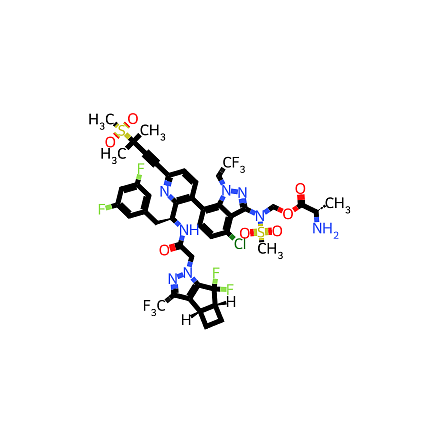 C[C@H](N)C(=O)OCN(c1nn(CC(F)(F)F)c2c(-c3ccc(C#CC(C)(C)S(C)(=O)=O)nc3[C@H](Cc3cc(F)cc(F)c3)NC(=O)Cn3nc(C(F)(F)F)c4c3C(F)(F)[C@@H]3CC[C@H]43)ccc(Cl)c12)S(C)(=O)=O